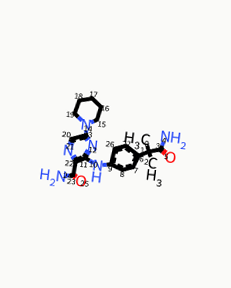 CC(C)(C(N)=O)c1ccc(Nc2nc(N3CCCCC3)cnc2C(N)=O)cc1